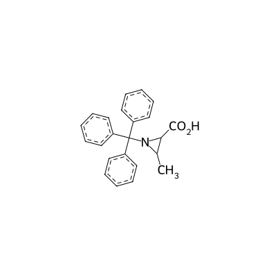 CC1C(C(=O)O)N1C(c1ccccc1)(c1ccccc1)c1ccccc1